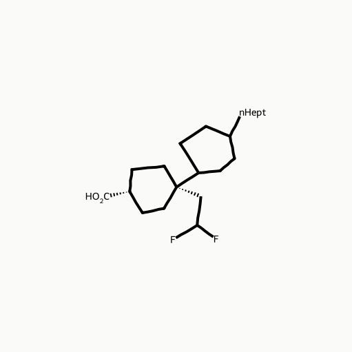 CCCCCCCC1CCC([C@]2(CC(F)F)CC[C@@H](C(=O)O)CC2)CC1